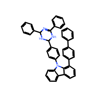 c1ccc(C2=NC(c3ccccc3)NC(c3ccc(-n4c5ccccc5c5cccc(-c6ccc(-c7ccccc7)cc6)c54)cc3)N2)cc1